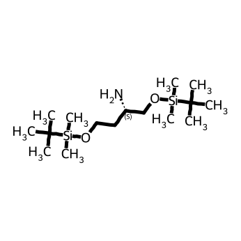 CC(C)(C)[Si](C)(C)OCC[C@H](N)CO[Si](C)(C)C(C)(C)C